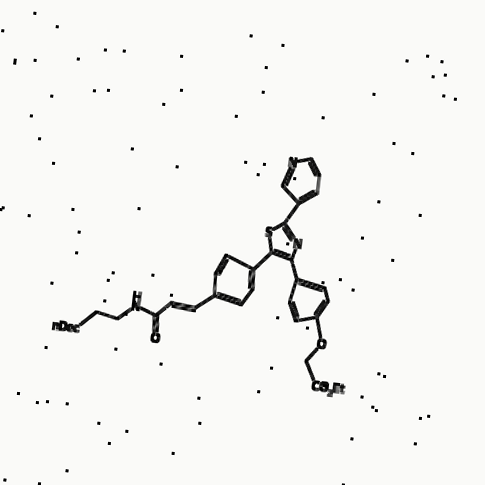 CCCCCCCCCCCCNC(=O)C=Cc1ccc(-c2sc(-c3cccnc3)nc2-c2ccc(OCC(=O)OCC)cc2)cc1